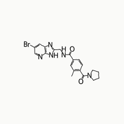 Cc1cc(C(=O)NCc2nc3cc(Br)cnc3[nH]2)ccc1C(=O)N1CCCC1